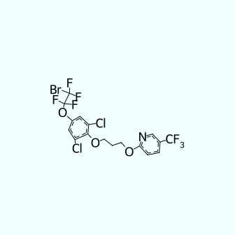 FC(F)(F)c1ccc(OCCCOc2c(Cl)cc(OC(F)(F)C(F)(F)Br)cc2Cl)nc1